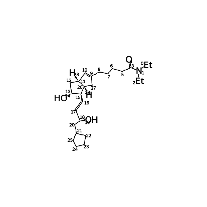 CCN(CC)C(=O)CCCCC1=C[C@H]2C[C@@H](O)[C@H](/C=C/[C@@H](O)CC3CCCC3)[C@H]2C1